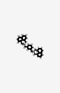 c1cc2c3c(cccc3c#1)CN(Cc1cccc(CN3Cc4cccc5cccc(c45)C3)c1)C2